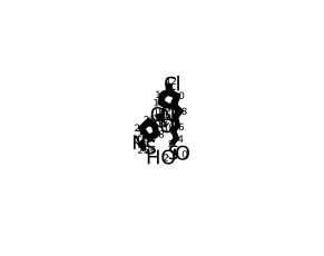 O=S(O)CCCCc1cc2cc(Cl)ccc2n1S(=O)(=O)c1ccc2ncsc2c1